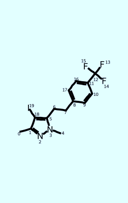 Cc1nn(C)c(CCc2ccc(C(F)(F)F)cc2)c1I